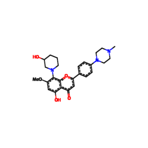 COc1cc(O)c2c(=O)cc(-c3ccc(N4CCN(C)CC4)cc3)oc2c1N1CCCC(O)C1